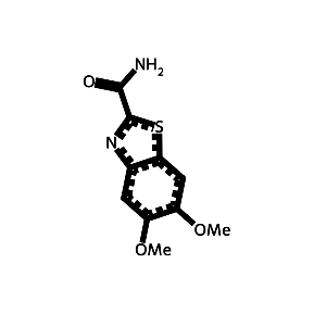 COc1cc2nc(C(N)=O)sc2cc1OC